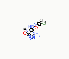 Nc1ncnn2cc(C(=O)NC3CC3)c(-c3ccc(NC(=O)Nc4ccc(Cl)c(C(F)(F)F)c4)cc3)c12